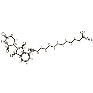 NC(=O)CCCCCCCCCCCNc1cccc2c1C(=O)N(C1CCC(=O)NC1=O)C2=O